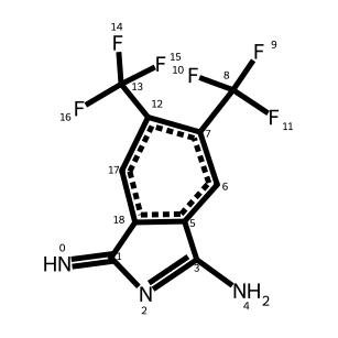 N=C1N=C(N)c2cc(C(F)(F)F)c(C(F)(F)F)cc21